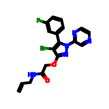 C=CCNC(=O)COc1nn(-c2cnccn2)c(-c2cccc(F)c2)c1Br